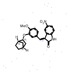 COc1ccc(/C=C2/C(=O)Nc3ccc([N+](=O)[O-])cc32)cc1O[C@H]1C[C@@H]2CC[C@H]1C2